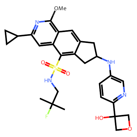 COc1nc(C2CC2)cc2c(S(=O)(=O)NCC(C)(C)F)c3c(cc12)CC(Nc1ccc(C2(O)COC2)nc1)C3